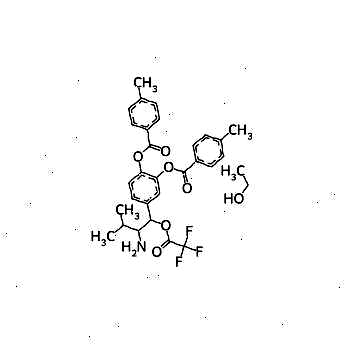 CCO.Cc1ccc(C(=O)Oc2ccc(C(OC(=O)C(F)(F)F)C(N)C(C)C)cc2OC(=O)c2ccc(C)cc2)cc1